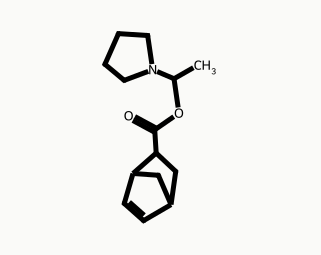 CC(OC(=O)C1CC2C=CC1C2)N1CCCC1